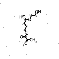 C=C(C)C(=O)OCCCC(O)OCCO